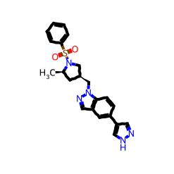 C[C@@H]1C[C@H](Cn2ncc3cc(-c4cn[nH]c4)ccc32)CN1S(=O)(=O)c1ccccc1